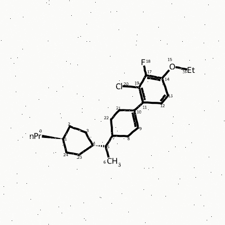 CCC[C@H]1CC[C@H](C(C)C2CC=C(c3ccc(OCC)c(F)c3Cl)CC2)CC1